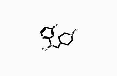 CC(=O)N1CCC(CN(C)c2cc(Br)ccn2)CC1